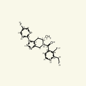 C[C@H]1Cc2c(nnn2-c2ncc(F)cn2)CN1C(=O)c1ccnc(CF)c1F